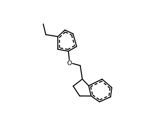 CCc1cccc(OCC2CCc3ccccc32)c1